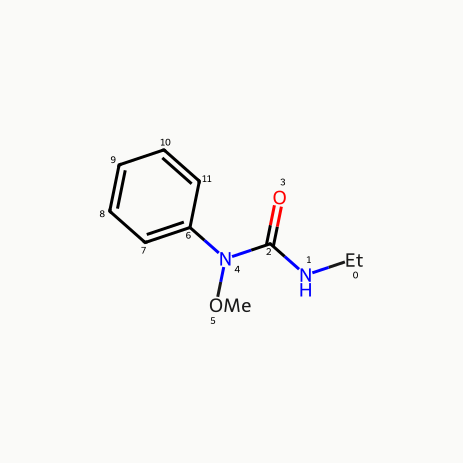 CCNC(=O)N(OC)c1ccccc1